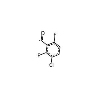 O=[C]c1c(F)ccc(Cl)c1F